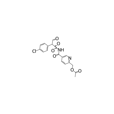 CC(=O)OCc1ccc(C(=O)NS(=O)(=O)C(C=O)c2ccc(Cl)cc2)cn1